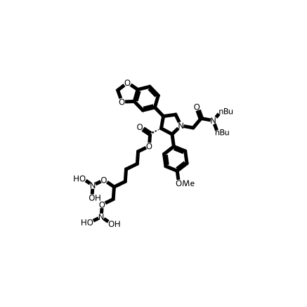 CCCCN(CCCC)C(=O)CN1CC(c2ccc3c(c2)OCO3)[C@@H](C(=O)OCCCCC(CON(O)O)ON(O)O)C1c1ccc(OC)cc1